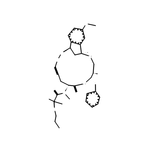 CCCCC(C)(C)C(=O)N(C)[C@H]1CC=CCO[C@@H]2C[C@H](NC[C@@H](O)[C@H](Cc3ccccc3)NC1=O)c1cc(OC)ccc12